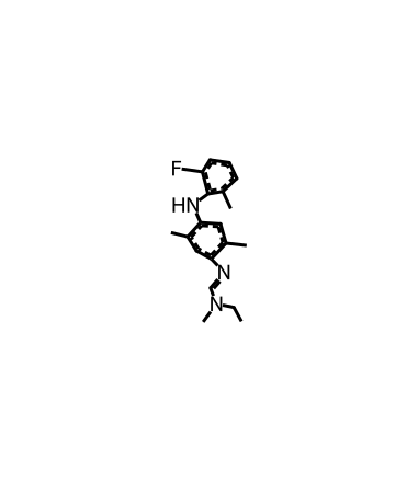 CCN(C)/C=N/c1cc(C)c(Nc2c(C)cccc2F)cc1C